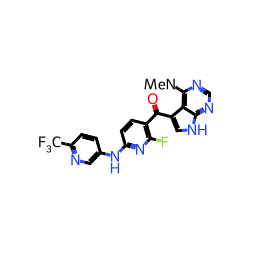 CNc1ncnc2[nH]cc(C(=O)c3ccc(Nc4ccc(C(F)(F)F)nc4)nc3F)c12